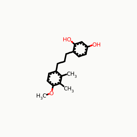 COc1ccc(CCCc2ccc(O)cc2O)c(C)c1C